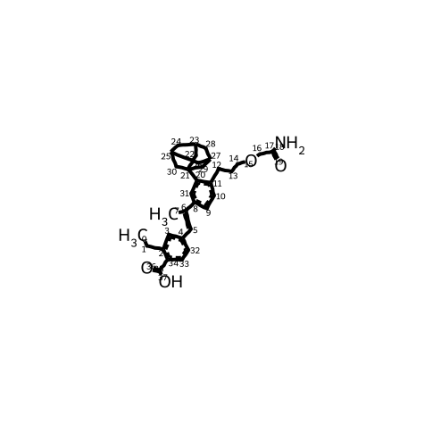 CCc1cc(C=C(C)c2ccc(CCCOCC(N)=O)c(C34CC5CC(CC(C5)C3)C4)c2)ccc1C(=O)O